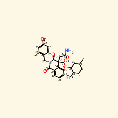 CC1CCC(C(C)C)C(OC(=O)C2(CC(N)=O)C(=O)N(Cc3ccc(Br)cc3F)C(=O)c3ccccc32)C1